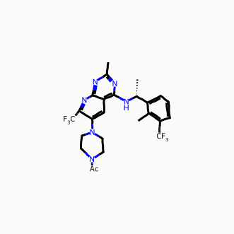 CC(=O)N1CCN(c2cc3c(N[C@H](C)c4cccc(C(F)(F)F)c4C)nc(C)nc3nc2C(F)(F)F)CC1